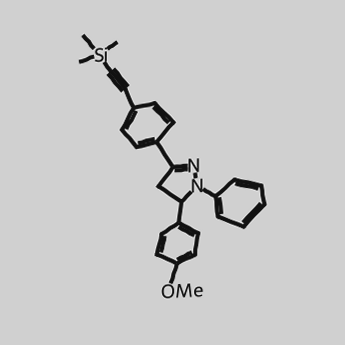 COc1ccc(C2CC(c3ccc(C#C[Si](C)(C)C)cc3)=NN2c2ccccc2)cc1